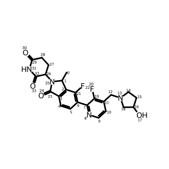 CC1c2c(ccc(-c3nccc(CN4CCC(O)C4)c3F)c2F)C(=O)N1C1CCC(=O)NC1=O